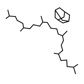 C1C2CC3CC1CC(C2)C3.CC(C)CCCC(C)CCCC(C)CCCCC(C)CCCC(C)CCCC(C)C